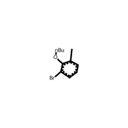 CCCCOc1c(C)cccc1Br